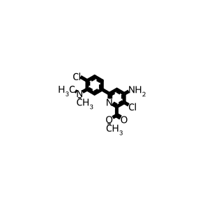 COC(=O)c1nc(-c2ccc(Cl)c(N(C)C)c2)cc(N)c1Cl